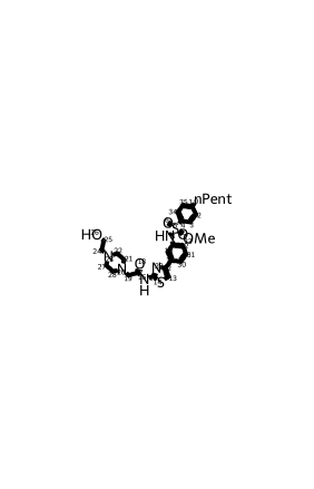 CCCCCc1ccc(S(=O)(=O)Nc2cc(-c3csc(NC(=O)CN4CCN(CCO)CC4)n3)ccc2OC)cc1